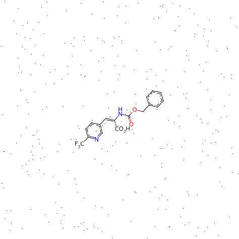 O=C(N/C(=C/c1ccc(C(F)(F)F)nc1)C(=O)O)OCc1ccccc1